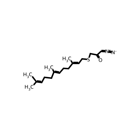 CC(C)=CCC/C(C)=C/CC/C(C)=C/CSCC(=O)C=[N+]=[N-]